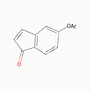 CC(=O)Oc1ccc2c(c1)C=CC2=O